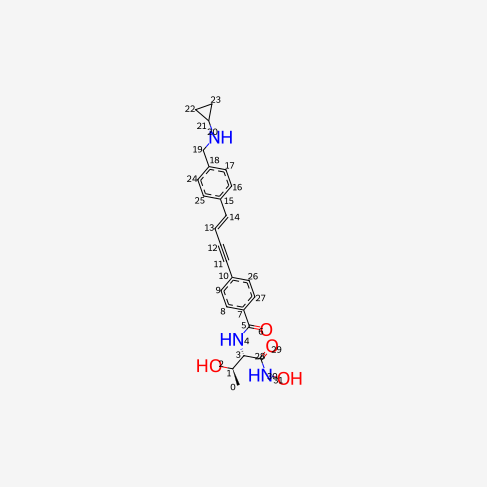 C[C@@H](O)[C@H](NC(=O)c1ccc(C#C/C=C/c2ccc(CNC3CC3)cc2)cc1)C(=O)NO